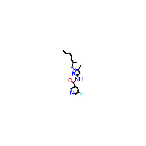 C=C/C=C\C=C(/C)Cn1nc(NC(=O)c2cncc(F)c2)cc1C